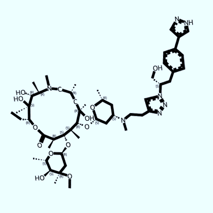 CC[C@H]1OC(=O)[C@H](C)[C@@H](O[C@H]2C[C@@](C)(OC)[C@@H](O)[C@H](C)O2)[C@H](C)[C@@H](O[C@H]2C[C@@H](N(C)CCc3cn([C@H](CO)Cc4ccc(-c5cn[nH]c5)cc4)nn3)C[C@@H](C)O2)[C@](C)(O)C[C@@H](C)CN(C)[C@H](C)[C@@H](O)[C@]1(C)O